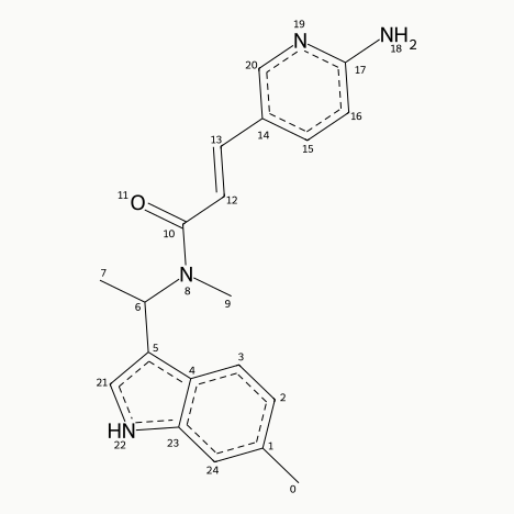 Cc1ccc2c(C(C)N(C)C(=O)C=Cc3ccc(N)nc3)c[nH]c2c1